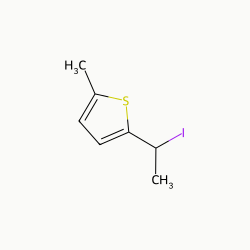 Cc1ccc(C(C)I)s1